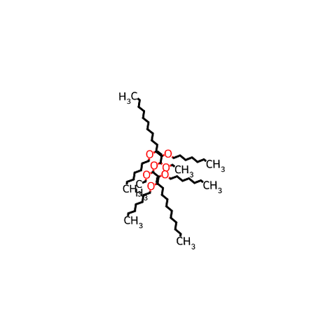 CCCCCCCCCCC(OCCCCCCC)=C(OCCCCCCC)C(OCC)OC(OCC)C(OCCCCCCC)=C(CCCCCCCCCC)OCCCCCCC